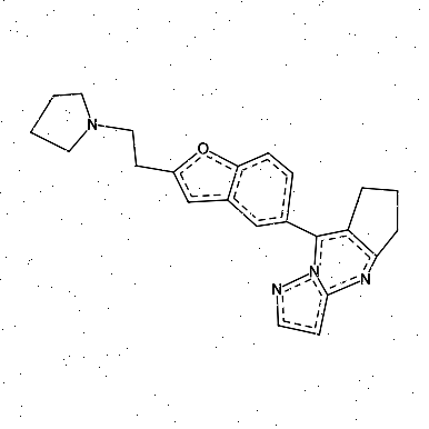 c1cc2nc3c(c(-c4ccc5oc(CCN6CCCC6)cc5c4)n2n1)CCC3